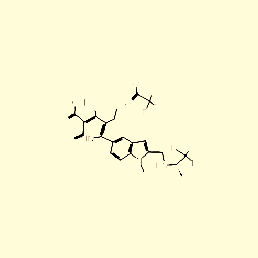 CCc1c(-c2ccc3c(c2)cc(CN[C@H](C)C(F)(F)F)n3C)[nH]c(=O)c(C(=O)O)c1O.O=C(O)C(F)(F)F